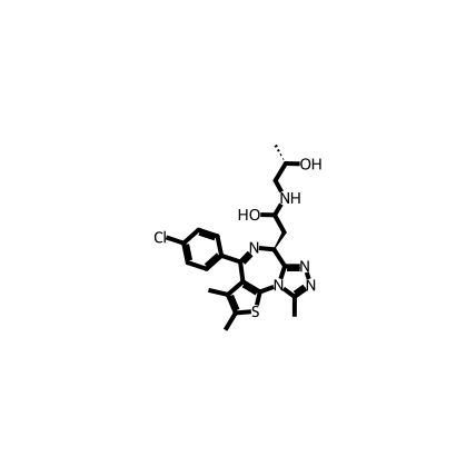 Cc1sc2c(c1C)C(c1ccc(Cl)cc1)=N[C@@H](CC(O)NC[C@H](C)O)c1nnc(C)n1-2